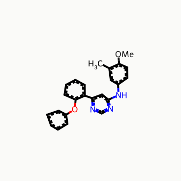 COc1ccc(Nc2cc(-c3ccccc3Oc3ccccc3)ncn2)cc1C